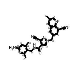 Cc1cnc2c(C#N)cc(Cn3cc(C(=O)NCc4c(C)cc(N)nc4C)c(C#N)n3)cc2c1